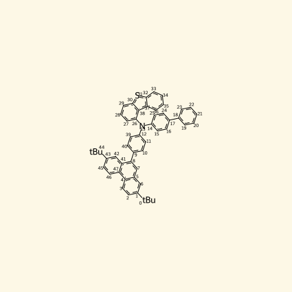 CC(C)(C)c1ccc2c(c1)cc(-c1ccc(N(c3ccc(-c4ccccc4)cc3)c3cccc4sc5ccccc5c34)cc1)c1cc(C(C)(C)C)ccc12